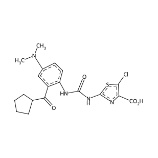 CN(C)c1ccc(NC(=O)Nc2nc(C(=O)O)c(Cl)s2)c(C(=O)C2CCCC2)c1